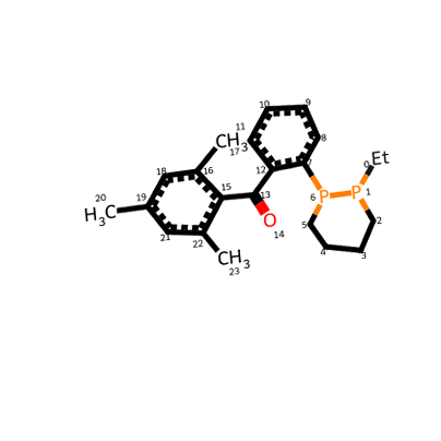 CCP1CCCCP1c1ccccc1C(=O)c1c(C)cc(C)cc1C